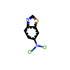 ClN(Cl)c1ccc2ncsc2c1